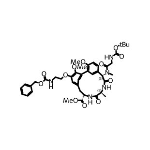 COC(=O)[C@@H]1Cc2cc(OCCNC(=O)OCc3ccccc3)c(OC)c(c2)-c2cc(ccc2OC)[C@H](N(C)C(=O)CNC(=O)OC(C)(C)C)C(=O)N[C@@H](C)C(=O)N1